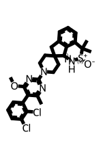 COc1nc(N2CCC3(CC2)Cc2cccc4c2[C@H]3N[S@+]([O-])C4(C)C)nc(C)c1-c1cccc(Cl)c1Cl